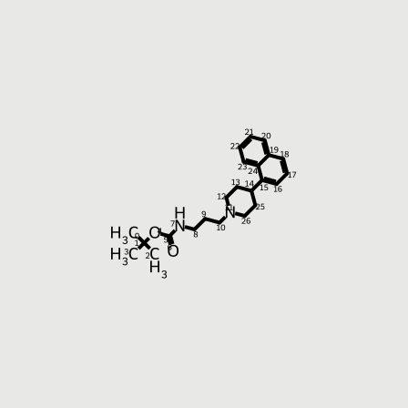 CC(C)(C)OC(=O)NCCCN1CCC(c2cccc3ccccc23)CC1